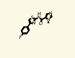 Cn1cncc1C(=O)Nc1nc(-c2ccc(F)cc2)cs1